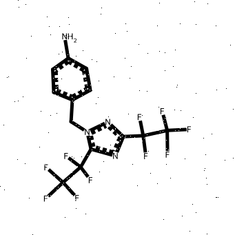 Nc1ccc(Cn2nc(C(F)(F)C(F)(F)F)nc2C(F)(F)C(F)(F)F)cc1